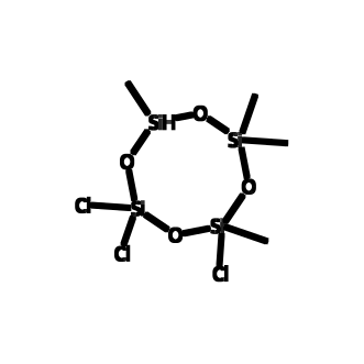 C[SiH]1O[Si](C)(C)O[Si](C)(Cl)O[Si](Cl)(Cl)O1